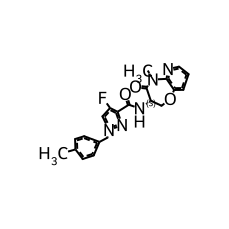 Cc1ccc(Cn2cc(F)c(C(=O)N[C@H]3COc4cccnc4N(C)C3=O)n2)cc1